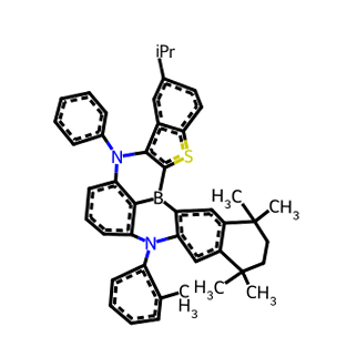 Cc1ccccc1N1c2cc3c(cc2B2c4sc5ccc(C(C)C)cc5c4N(c4ccccc4)c4cccc1c42)C(C)(C)CCC3(C)C